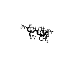 CC(C)CC(C)(CCC(C)CC(C)(C)CC(F)(F)C(C)C)CC(F)C(C)C